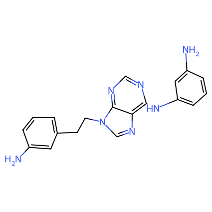 Nc1cccc(CCn2cnc3c(Nc4cccc(N)c4)ncnc32)c1